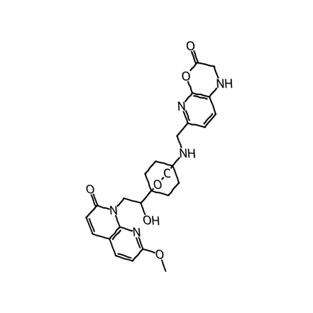 COc1ccc2ccc(=O)n(CC(O)C34CCC(NCc5ccc6c(n5)OC(=O)CN6)(CC3)CO4)c2n1